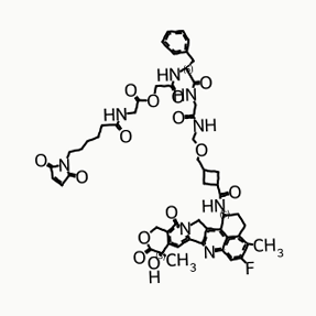 Cc1c(F)cc2nc3c(c4c2c1CC[C@@H]4NC(=O)C1CC(COCNC(=O)CNC(=O)[C@H](Cc2ccccc2)NC(=O)COC(=O)CNC(=O)CCCCCN2C(=O)C=CC2=O)C1)Cn1c-3cc2c(c1=O)COC(=O)[C@@]2(C)O